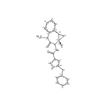 CN1C(=O)C(NC(=O)c2cc(Cc3ccccc3)on2)[C@H]2CC2c2cccnc21